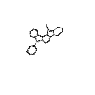 In1c2c(c3ccc4c(c5ccccc5n4-c4ccccc4)c31)C=CCC2